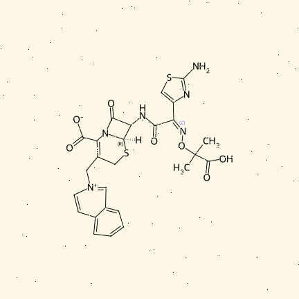 CC(C)(O/N=C(\C(=O)NC1C(=O)N2C(C(=O)[O-])=C(C[n+]3ccc4ccccc4c3)CS[C@H]12)c1csc(N)n1)C(=O)O